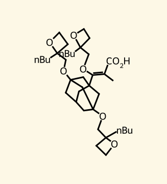 CCCCC1(COC(=C(C)C(=O)O)C23CC4CC(OCC5(CCCC)CCO5)(CC(OCC5(CCCC)CCO5)(C4)C2)C3)CCO1